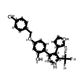 Oc1cc(OCc2ccc(Cl)cc2)ccc1-c1n[nH]c(C(F)(F)F)c1-c1ccoc1